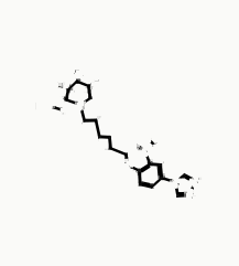 O=[N+]([O-])c1cc(-n2cnnc2)ccc1NCCCCCCN1C[C@H](O)[C@@H](O)[C@H](O)[C@H]1CO